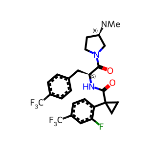 CN[C@@H]1CCN(C(=O)[C@H](Cc2ccc(C(F)(F)F)cc2)NC(=O)C2(c3ccc(C(F)(F)F)cc3F)CC2)C1